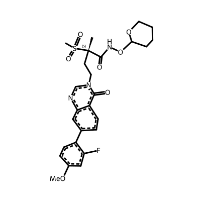 COc1ccc(-c2ccc3c(=O)n(CC[C@@](C)(C(=O)NOC4CCCCO4)S(C)(=O)=O)cnc3c2)c(F)c1